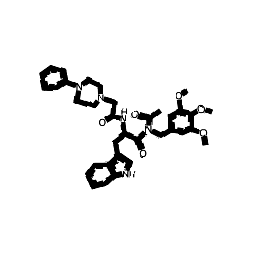 COc1cc(CN(C(C)=O)C(=O)C(Cc2c[nH]c3ccccc23)NC(=O)CN2CCN(c3ccccc3)CC2)cc(OC)c1OC